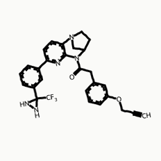 C#CCOc1cccc(CC(=O)N2c3nc(-c4cccc(C5(C(F)(F)F)NN5)c4)ccc3N3CCC2C3)c1